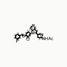 CC(=O)Nc1ccc(/C=C/c2cncnc2Nc2ccc(OCc3cccc(F)c3)c(Cl)c2)cn1